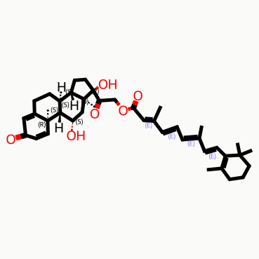 CC1=C(/C=C/C(C)=C/C=C/C(C)=C/C(=O)OCC(=O)[C@@]2(O)CC[C@H]3[C@@H]4CCC5=CC(=O)C=C[C@]5(C)[C@H]4[C@@H](O)C[C@@]32C)C(C)(C)CCC1